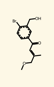 COC/C(C)=C/C(=O)c1ccc(Br)c(CO)c1